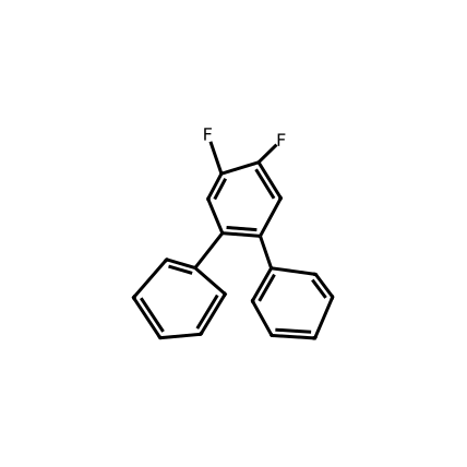 Fc1cc(-c2ccccc2)c(-c2ccccc2)cc1F